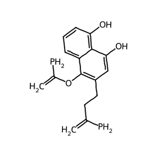 C=C(P)CCc1cc(O)c2c(O)cccc2c1OC(=C)P